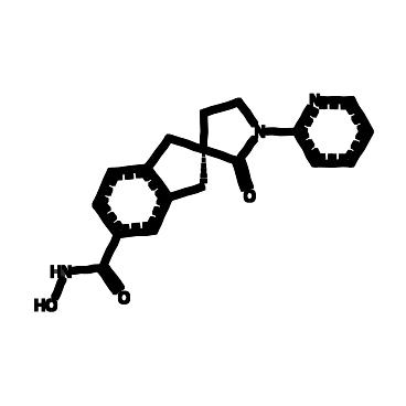 O=C(NO)c1ccc2c(c1)C[C@@]1(CCN(c3ccccn3)C1=O)C2